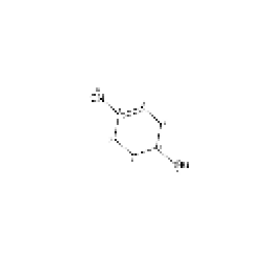 [C-]#[N+]C1=CCC(C(C)(C)C)CC1